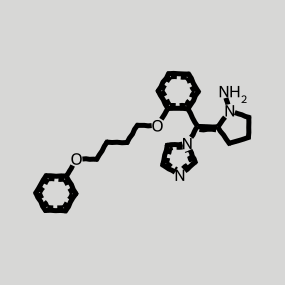 NN1CCCC1=C(c1ccccc1OCCCCOc1ccccc1)n1ccnc1